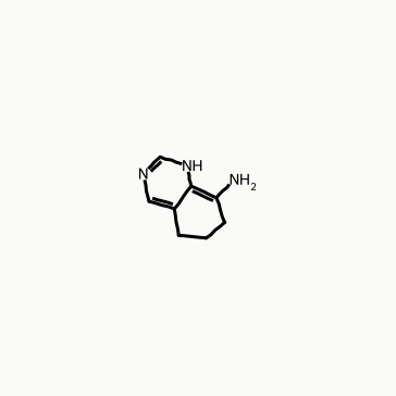 NC1=C2NC=NC=C2CCC1